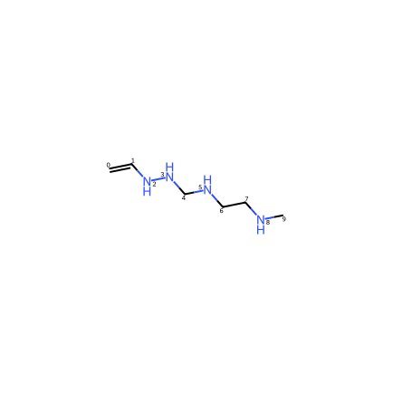 C=CNNCNCCNC